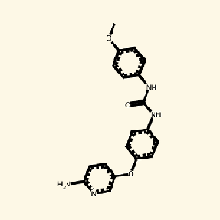 COc1ccc(NC(=O)Nc2ccc(Oc3ccc(N)nc3)cc2)cc1